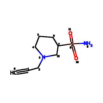 C#CCN1CCCC(S(N)(=O)=O)C1